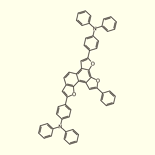 c1ccc(-c2cc3c(o2)c2oc(-c4ccc(N(c5ccccc5)c5ccccc5)cc4)cc2c2ccc4cc(-c5ccc(N(c6ccccc6)c6ccccc6)cc5)oc4c23)cc1